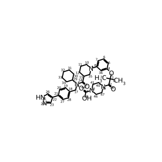 CC(C)(Oc1cccc(N2CCCC(C(=O)N(Cc3ccc(-c4cn[nH]c4)cc3)C3CCCCC3)C2)c1)C(=O)N1CCN(C(=O)O)CC1